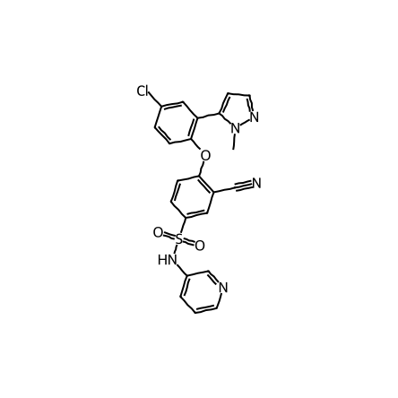 Cn1nccc1-c1cc(Cl)ccc1Oc1ccc(S(=O)(=O)Nc2cccnc2)cc1C#N